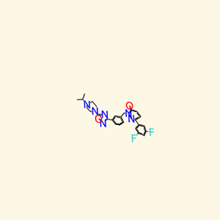 CC(C)N1CCN(c2nc(-c3cccc(Cn4nc(-c5cc(F)cc(F)c5)ccc4=O)c3)no2)CC1